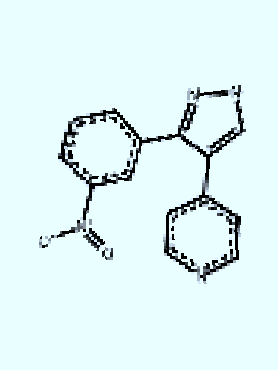 O=[N+]([O-])c1cccc(C2=N[N]C=C2c2ccncc2)c1